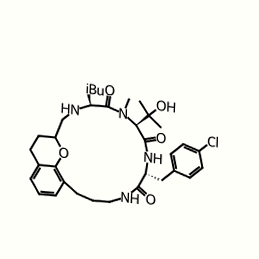 CCC(C)[C@@H]1NCC2CCc3cccc(c3O2)CCCNC(=O)[C@@H](Cc2ccc(Cl)cc2)NC(=O)[C@H](C(C)(C)O)N(C)C1=O